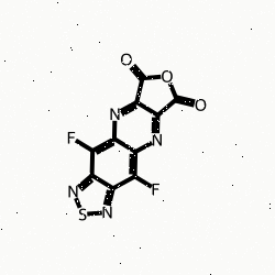 O=C1OC(=O)c2nc3c(F)c4nsnc4c(F)c3nc21